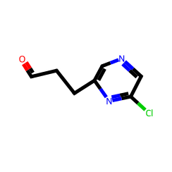 O=CCCc1cncc(Cl)n1